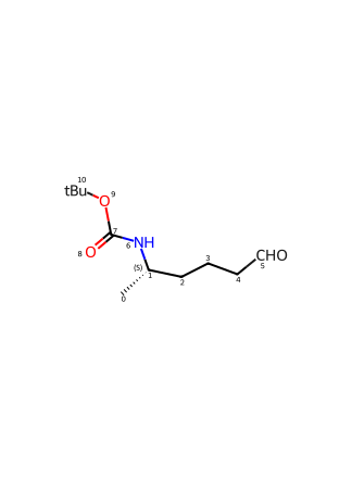 C[C@@H](CCCC=O)NC(=O)OC(C)(C)C